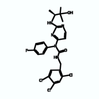 C[C@H](Nc1nccc(N(C(=O)NCc2cc(Cl)c(Cl)cc2Cl)c2ccc(F)cc2)n1)C(C)(C)O